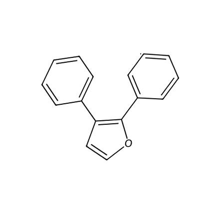 [c]1cccc(-c2occc2-c2ccccc2)c1